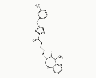 Cc1cccc(Cn2cnc(C(=O)CC/C=C/[C@H]3COc4cccnc4N(C)C3=S)n2)c1